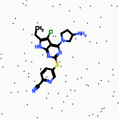 CCc1[nH]c2nc(Sc3ccc(C#N)nc3)nc(N3CCC(N)C3)c2c1Cl